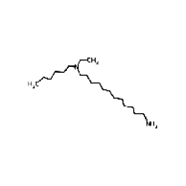 CCCCCCN(CC)CCCCCCCCCCCCN